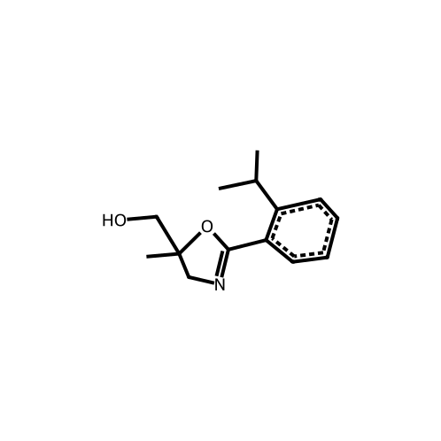 CC(C)c1ccccc1C1=NCC(C)(CO)O1